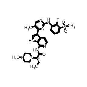 CC[C@H](C(=O)Nc1nccc2c(-c3nc(Nc4cccc(S(C)(=O)=O)c4F)ncc3C)c[nH]c12)N1CCN(C)CC1